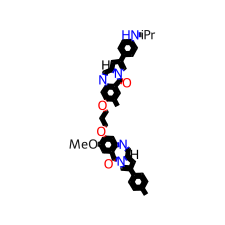 COc1cc2c(cc1OCCCOc1cc3c(cc1C)C(=O)N1C=C(c4ccc(NC(C)C)cc4)C[C@H]1C=N3)N=C[C@@H]1CC(c3ccc(C)cc3)=CN1C2=O